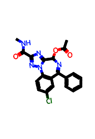 CNC(=O)c1nc2n(n1)-c1ccc(Cl)cc1C(c1ccccc1)=NC2OC(C)=O